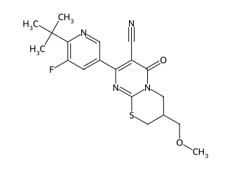 COCC1CSc2nc(-c3cnc(C(C)(C)C)c(F)c3)c(C#N)c(=O)n2C1